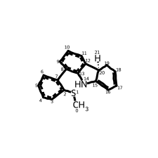 CSc1ccccc1-c1cccc2c1NC1=CC=CC[C@@H]12